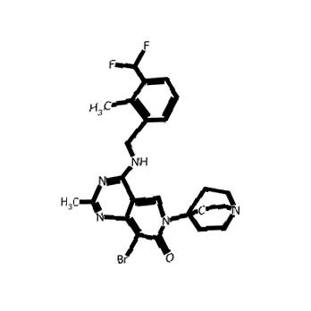 Cc1nc(NCc2cccc(C(F)F)c2C)c2cn(C34CCN(CC3)CC4)c(=O)c(Br)c2n1